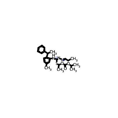 CC/C=N/N=C(/Nc1cc(C)ccc1C(C)c1ccccc1)SC(C)OC(=O)OC(C)C